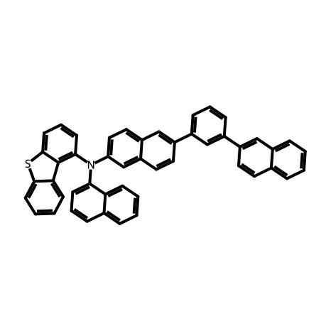 c1cc(-c2ccc3ccccc3c2)cc(-c2ccc3cc(N(c4cccc5ccccc45)c4cccc5sc6ccccc6c45)ccc3c2)c1